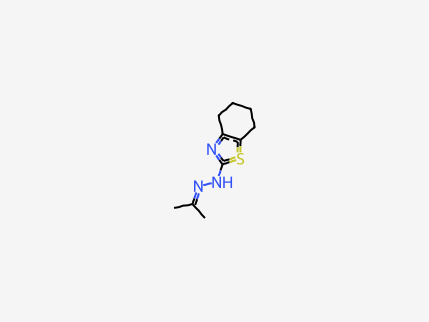 CC(C)=NNc1nc2c(s1)CCCC2